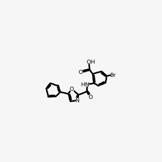 O=C(Nc1ccc(Br)cc1C(=O)O)c1ncc(-c2ccccc2)o1